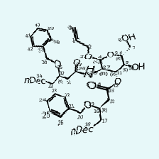 C=CCO[C@H]1O[C@H](CO)[C@@H](O)[C@H](OC(=O)C[C@@H](CCCCCCCCCCC)OCc2ccccc2)[C@H]1NC(=O)C[C@@H](CCCCCCCCCCC)OCc1ccccc1